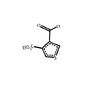 CCOC(=O)c1cscc1C(=O)CC